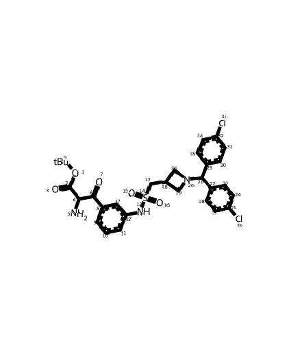 CC(C)(C)OC(=O)C(N)C(=O)c1cccc(NS(=O)(=O)CC2CN(C(c3ccc(Cl)cc3)c3ccc(Cl)cc3)C2)c1